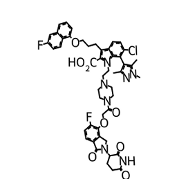 Cc1nn(C)c(C)c1-c1c(Cl)ccc2c(CCCOc3cccc4cc(F)ccc34)c(C(=O)O)n(CCN3CCN(C(=O)COc4c(F)ccc5c4CN(C4CCC(=O)NC4=O)C5=O)CC3)c12